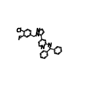 Fc1cc(Cn2nccc2-c2ccnc(N=C(c3ccccc3)c3ccccc3)c2)ccc1Cl